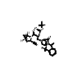 CC(c1ccccc1C(F)(F)F)N1C(=O)C2CC1CN2CC(NC(=O)OC(C)(C)C)C(=O)N1C(C#N)C[C@@H]2C[C@@H]21